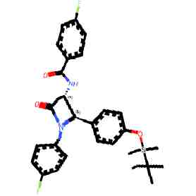 CC(C)(C)[Si](C)(C)Oc1ccc([C@@H]2[C@@H](NC(=O)c3ccc(F)cc3)C(=O)N2c2ccc(F)cc2)cc1